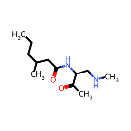 CCCC(C)CC(=O)N[C@@H](CNC)C(C)=O